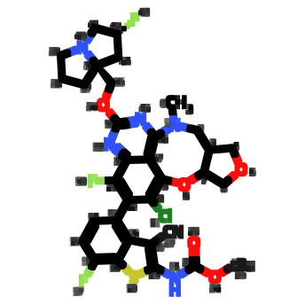 CN1CC2COCC2Oc2c(Cl)c(-c3ccc(F)c4sc(NC(=O)OC(C)(C)C)c(C#N)c34)c(F)c3nc(OC[C@@]45CCCN4C[C@H](F)C5)nc1c23